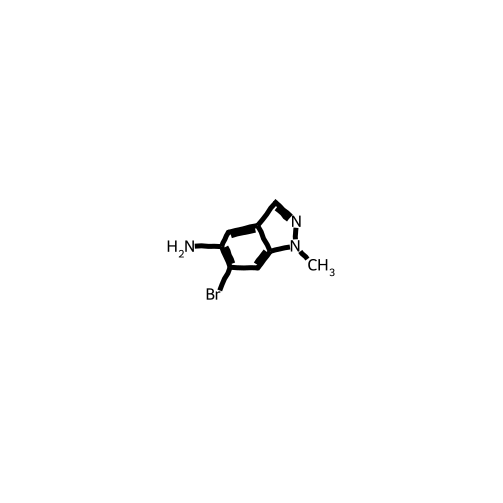 Cn1ncc2cc(N)c(Br)cc21